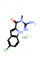 CN(C(=N)N)C(=O)c1cc2cc(Cl)ccc2[nH]1.Cl